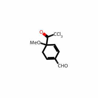 COC1(C(=O)C(Cl)(Cl)Cl)C=CC(C=O)=CC1